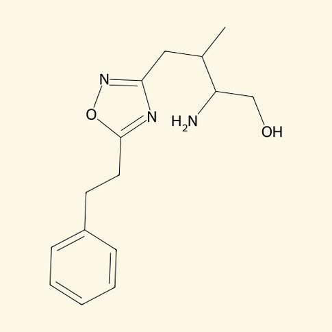 CC(Cc1noc(CCc2ccccc2)n1)C(N)CO